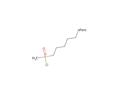 CCCCCCCCCC[SH](C)(=O)Cl